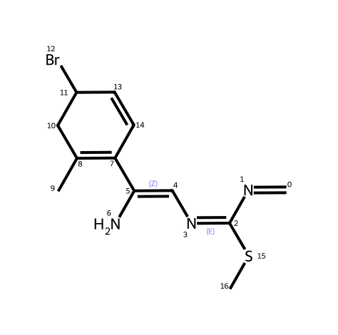 C=N/C(=N\C=C(/N)C1=C(C)CC(Br)C=C1)SC